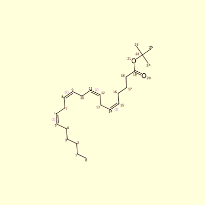 CCCCC/C=C\C/C=C\C/C=C\C/C=C\CCCC(=O)OC(C)(C)C